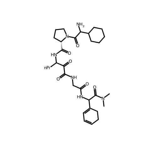 CCCC(NC(=O)[C@@H]1CCCN1C(=O)C(N)C1CCCCC1)C(=O)C(=O)NCC(=O)NC(C(=O)N(C)C)C1=CC=CCC1